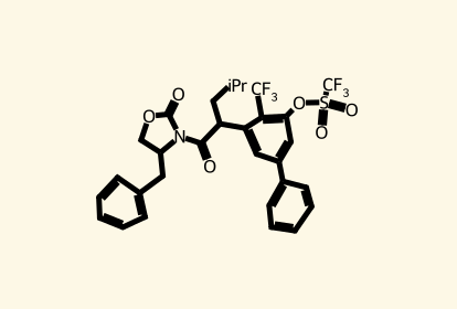 CC(C)CC(C(=O)N1C(=O)OCC1Cc1ccccc1)c1cc(-c2ccccc2)cc(OS(=O)(=O)C(F)(F)F)c1C(F)(F)F